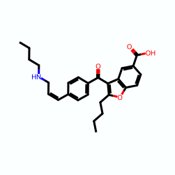 CCCCNC/C=C\c1ccc(C(=O)c2c(CCCC)oc3ccc(C(=O)O)cc23)cc1